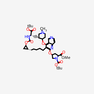 COC(=O)C1CC(Oc2nc3ccncc3c(OC3CCN(C)CC3)c2CCCCC[C@@H]2C[C@H]2OC(=O)N[C@H](C(=O)OC(C)(C)C)C(C)(C)C)CN1C(=O)OC(C)(C)C